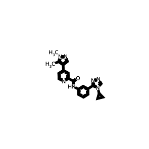 Cc1c(-c2ccnc(C(=O)Nc3cccc(-c4nncn4C4CC4)c3)c2)cnn1C